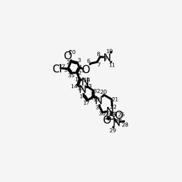 COc1cc(OCCCN(C)C)c(-c2cn3ccc(N4CCCN(S(=O)(=O)N(C)C)CC4)cc3n2)cc1Cl